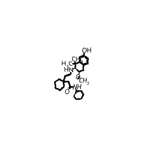 CO[C@@H]1Cc2ccc(O)cc2C(C)(C)[C@@H]1NCCC1(CC(=O)NC2CCCCC2)CCCCC1